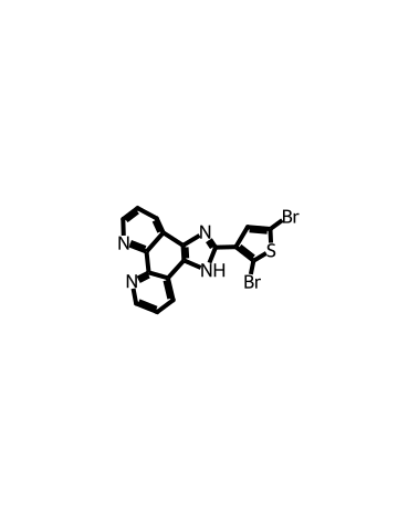 Brc1cc(-c2nc3c4cccnc4c4ncccc4c3[nH]2)c(Br)s1